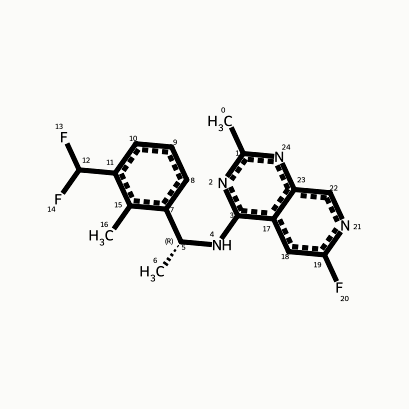 Cc1nc(N[C@H](C)c2cccc(C(F)F)c2C)c2cc(F)ncc2n1